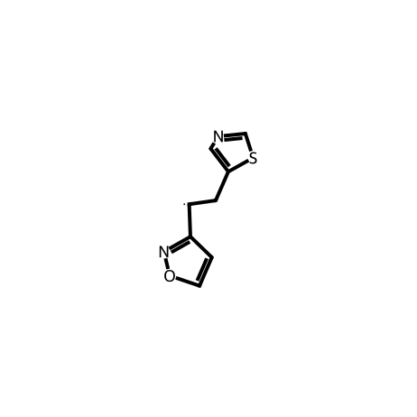 [CH](Cc1cncs1)c1ccon1